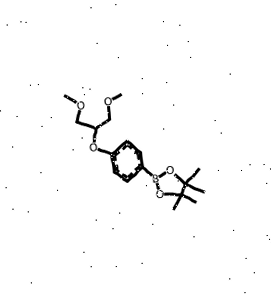 COCC(COC)Oc1ccc(B2OC(C)(C)C(C)(C)O2)cc1